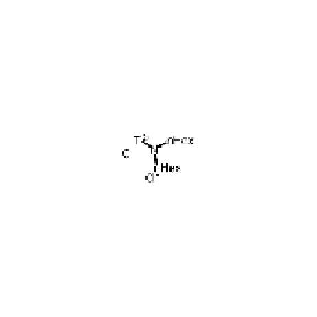 CCCCCC[N]([Ti+2])CCCCCC.[Cl-].[Cl-]